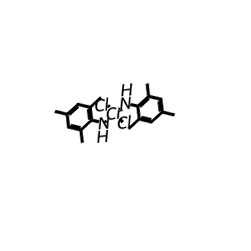 Cc1cc(C)c([NH][Cr]([Cl])([Cl])[NH]c2c(C)cc(C)cc2C)c(C)c1